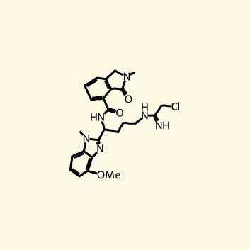 COc1cccc2c1nc(C(CCCNC(=N)CCl)NC(=O)c1cccc3c1C(=O)N(C)C3)n2C